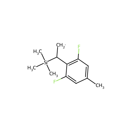 [CH2]C(c1c(F)cc(C)cc1F)[Si](C)(C)C